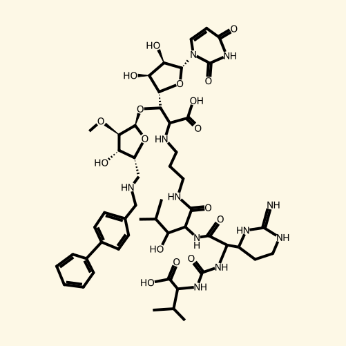 CO[C@H]1[C@@H](OC(C(NCCCNC(=O)C(NC(=O)C(NC(=O)NC(C(=O)O)C(C)C)C2CCNC(=N)N2)C(O)C(C)C)C(=O)O)[C@H]2O[C@@H](n3ccc(=O)[nH]c3=O)[C@H](O)[C@@H]2O)O[C@H](CNCc2ccc(-c3ccccc3)cc2)[C@@H]1O